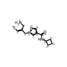 NC/C(=C\F)Cn1cc(C(=O)NC2CCC2)cn1